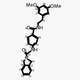 COc1cc(CCNC(=O)c2ccc(NC(=O)N3Cc4ccccc4C3)cc2)cc(OC)c1